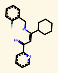 N=C(/C=C(\NCc1ccccc1F)C1CCCCC1)c1ccccn1